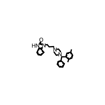 Cc1ccc(C)c(C(c2ccccc2)N2CCN(CCCn3c(=O)[nH]c4ccccc43)CC2)c1